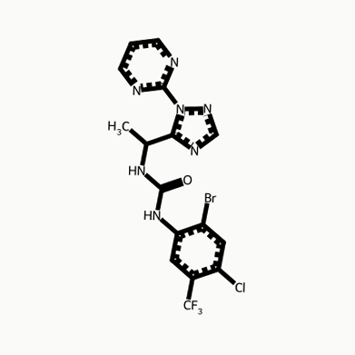 CC(NC(=O)Nc1cc(C(F)(F)F)c(Cl)cc1Br)c1ncnn1-c1ncccn1